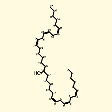 CCCCC/C=C\C/C=C\C/C=C\CCCCCC(O)CCCCC/C=C\C/C=C\C/C=C\CCCCC